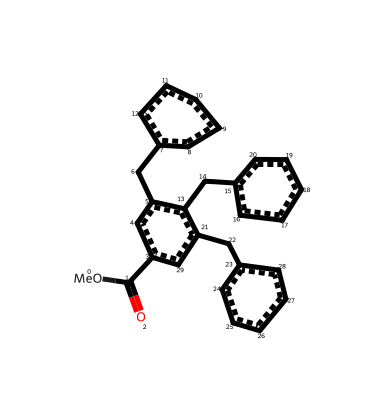 COC(=O)c1cc(Cc2ccccc2)c(Cc2ccccc2)c(Cc2ccccc2)c1